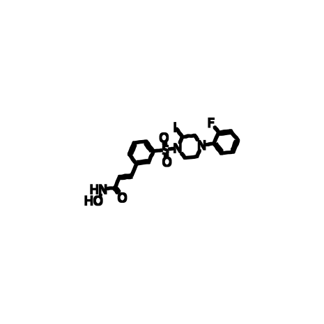 O=C(C=Cc1cccc(S(=O)(=O)N2CCN(c3ccccc3F)CC2I)c1)NO